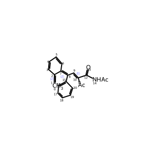 C/C=c1/cccc/c1=C(\C=C(/C(C)=O)C(=O)NC(C)=O)c1ccccc1